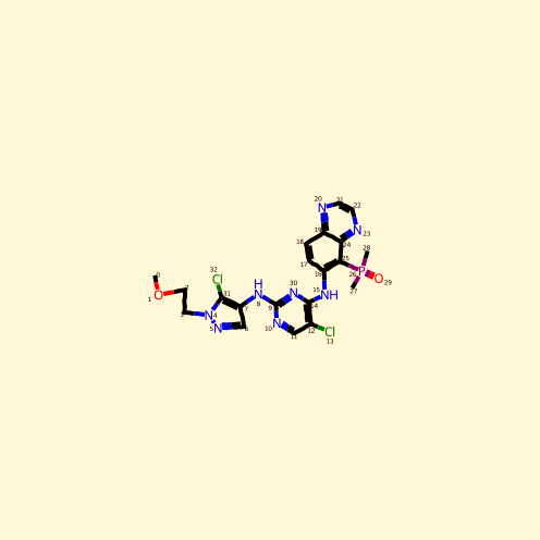 COCCn1ncc(Nc2ncc(Cl)c(Nc3ccc4nccnc4c3P(C)(C)=O)n2)c1Cl